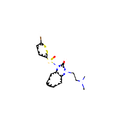 CN(C)CCn1c(=O)n(S(=O)(=O)c2ccc(Br)s2)c2ccccc21